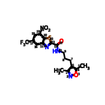 Cc1noc(C)c1CCCNC(=O)c1nc2cc(C(F)(F)F)cc([N+](=O)[O-])c2s1